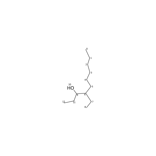 CCCCCCC(CC)C(O)CC